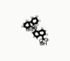 CC(C)(C)[Si](Oc1cccc2c(C(=O)OO)cccc12)(c1ccccc1)c1ccccc1